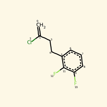 C=C(Cl)C[CH]c1cccc(F)c1F